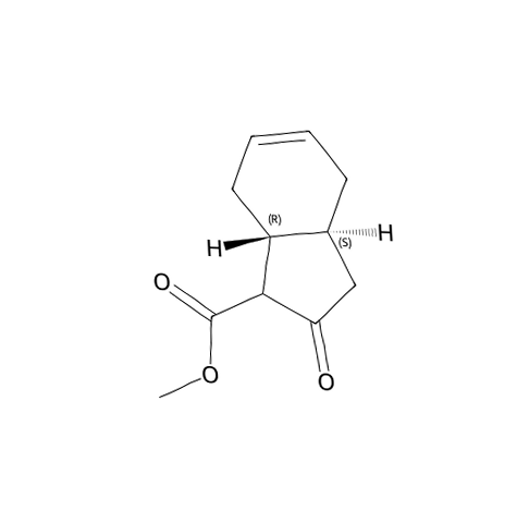 COC(=O)C1C(=O)C[C@@H]2CC=CC[C@@H]12